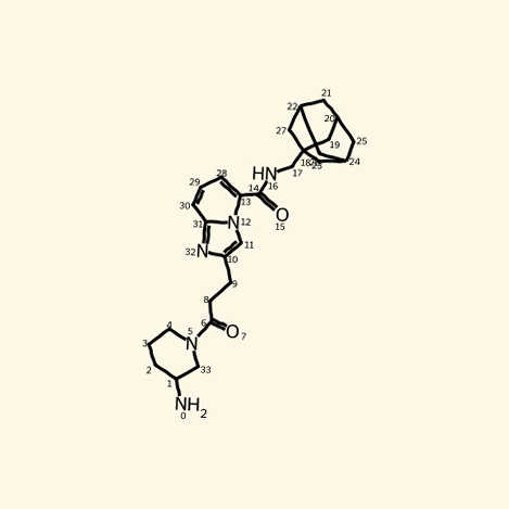 NC1CCCN(C(=O)CCc2cn3c(C(=O)NCC45CC6CC(CC(C6)C4)C5)cccc3n2)C1